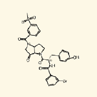 CS(=O)(=O)c1cccc(C(=O)N2CC(=O)C3C2CCN3C(=O)[C@H](Cc2ccc(O)cc2)NC(=O)c2cccc(Br)c2)c1